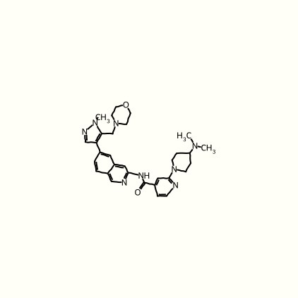 CN(C)C1CCN(c2cc(C(=O)Nc3cc4cc(-c5cnn(C)c5CN5CCOCC5)ccc4cn3)ccn2)CC1